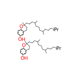 CC(C)CCCC(C)CCCC(C)CCCC1(C)CCc2cc(O)ccc2O1.CC(C)CCCC(C)CCCC(C)CCCC1(C)CCc2cc(O)ccc2O1